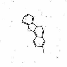 Ic1ccc2c(ccc3c4ccccc4oc23)c1